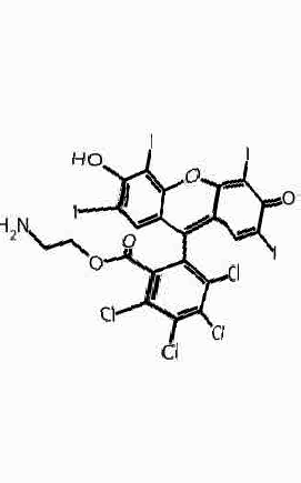 NCCOC(=O)c1c(Cl)c(Cl)c(Cl)c(Cl)c1-c1c2cc(I)c(=O)c(I)c-2oc2c(I)c(O)c(I)cc12